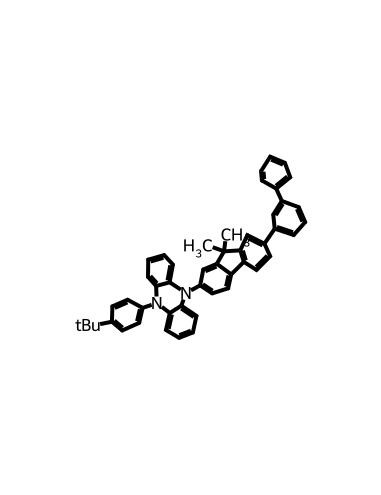 CC(C)(C)c1ccc(N2c3ccccc3N(c3ccc4c(c3)C(C)(C)c3cc(-c5cccc(-c6ccccc6)c5)ccc3-4)c3ccccc32)cc1